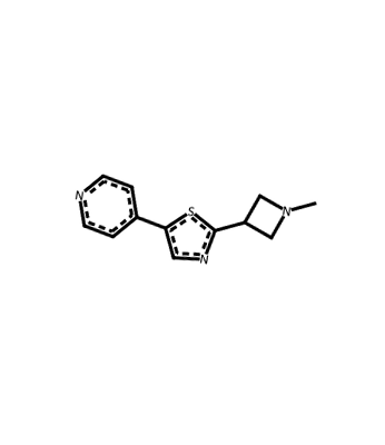 CN1CC(c2ncc(-c3ccncc3)s2)C1